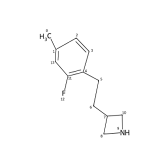 Cc1ccc(CCC2CNC2)c(F)c1